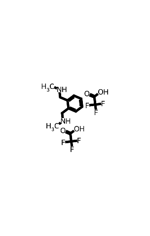 CNCc1ccccc1CNC.O=C(O)C(F)(F)F.O=C(O)C(F)(F)F